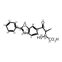 CC(C(=O)c1ccc2nc(-c3ccccc3)oc2c1)N(S)C(=O)O